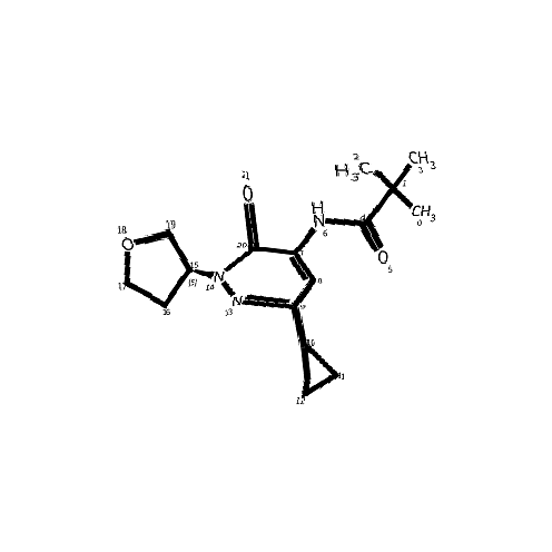 CC(C)(C)C(=O)Nc1cc(C2CC2)nn([C@H]2CCOC2)c1=O